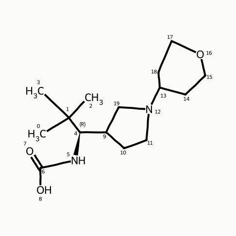 CC(C)(C)[C@H](NC(=O)O)C1CCN(C2CCOCC2)C1